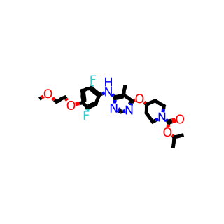 COCCOc1cc(F)c(Nc2ncnc(OC3CCN(C(=O)OC(C)C)CC3)c2C)cc1F